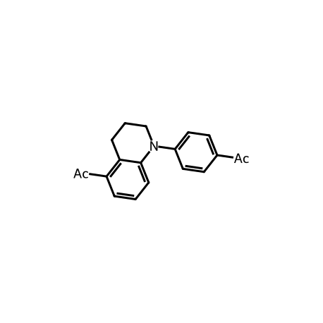 CC(=O)c1ccc(N2CCCc3c(C(C)=O)cccc32)cc1